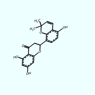 CC1(C)C=Cc2c(O)ccc(C3CC(=O)c4c(O)cc(O)cc4O3)c2O1